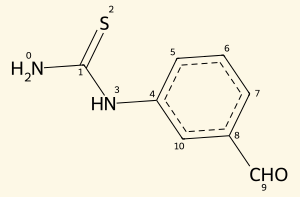 NC(=S)Nc1cccc(C=O)c1